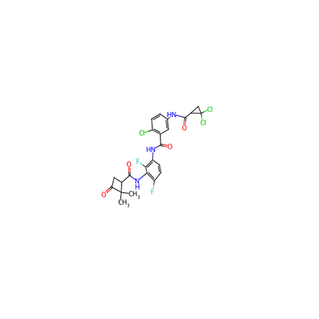 CC1(C)C(=O)CC1C(=O)Nc1c(F)ccc(NC(=O)c2cc(NC(=O)C3CC3(Cl)Cl)ccc2Cl)c1F